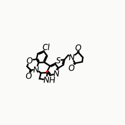 O=C1CCC(=O)N1Cc1cc2nccc(-c3cc(Cl)cc4c3N(C3CNC3)C(=O)CO4)c2s1